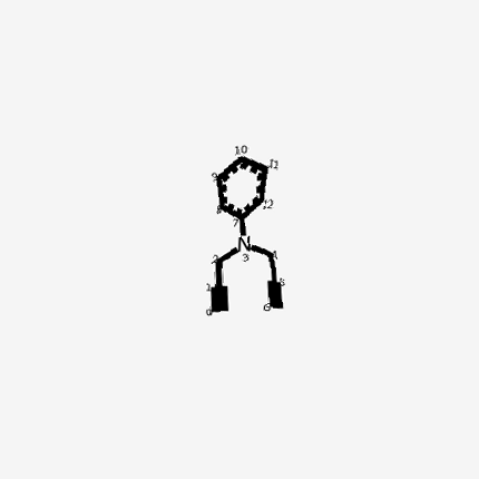 C#CCN(CC#C)c1ccccc1